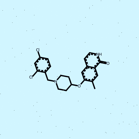 Cc1cc2c(=O)[nH]ccc2cc1OC1CCN(Cc2ccc(Cl)cc2Cl)CC1